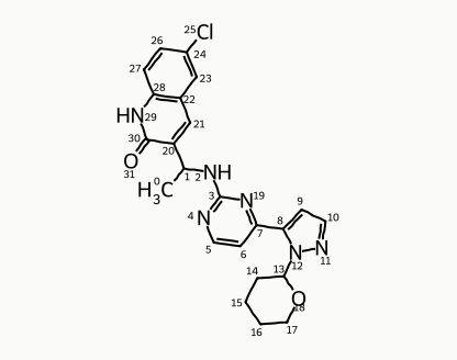 CC(Nc1nccc(-c2ccnn2C2CCCCO2)n1)c1cc2cc(Cl)ccc2[nH]c1=O